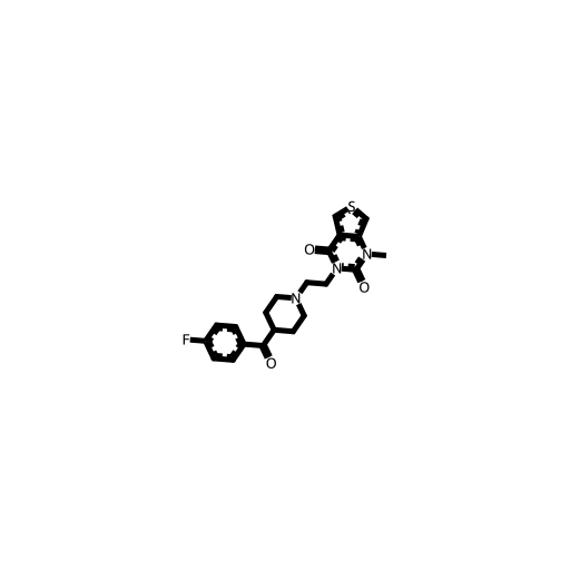 Cn1c(=O)n(CCN2CCC(C(=O)c3ccc(F)cc3)CC2)c(=O)c2cscc21